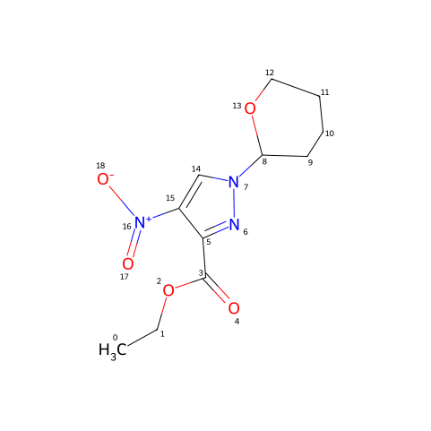 CCOC(=O)c1nn(C2CCCCO2)cc1[N+](=O)[O-]